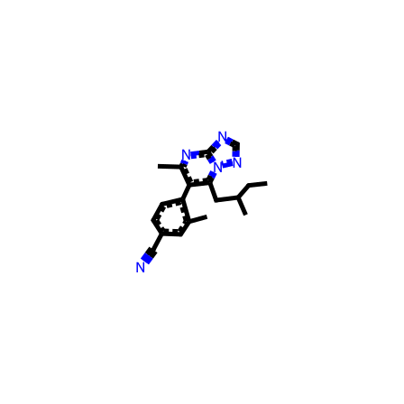 CCC(C)Cc1c(-c2ccc(C#N)cc2C)c(C)nc2ncnn12